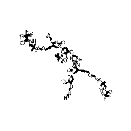 CN(C)/C=N/c1nc(=O)n([C@H]2CC(OC(CN(C)/C=N/c3nc(=O)n([C@H]4CC(OCN=[N+]=[N-])[C@@H](CO)O4)cc3C#CCOCSSC(C)(C)CNC(=O)C(F)(F)F)N=[N+]=[N-])[C@@H](CO[Si](C)(C)C(C)(C)C)O2)cc1C#CCOCSSC(C)(C)CNC(=O)C(F)(F)F